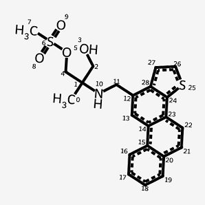 CC(CO)(COS(C)(=O)=O)NCc1cc2c3ccccc3ccc2c2sccc12